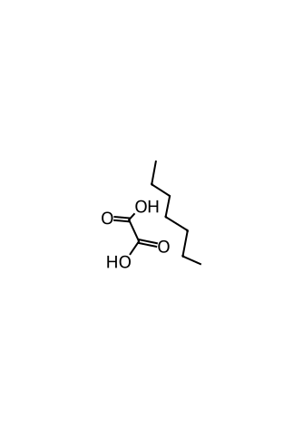 CCCCCCC.O=C(O)C(=O)O